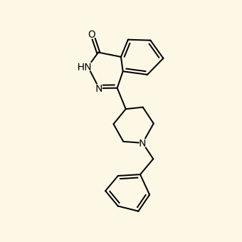 O=c1[nH]nc(C2CCN(Cc3ccccc3)CC2)c2ccccc12